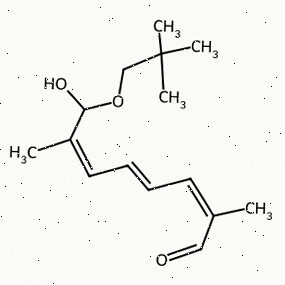 CC(C=O)=CC=CC=C(C)C(O)OCC(C)(C)C